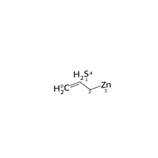 C=C[CH2][Zn].S